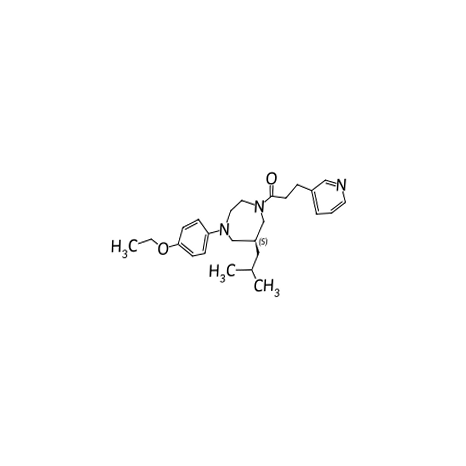 CCOc1ccc(N2CCN(C(=O)CCc3cccnc3)C[C@@H](CC(C)C)C2)cc1